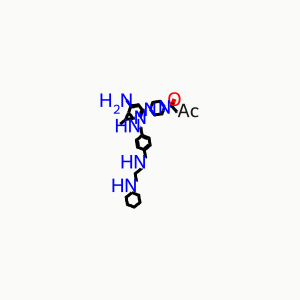 CC(=O)CC(=O)N1CCN(C2=NC3(NCc4ccc(CNCCCNC5CCCCC5)cc4)C(C)C3C(N)=C2)CC1